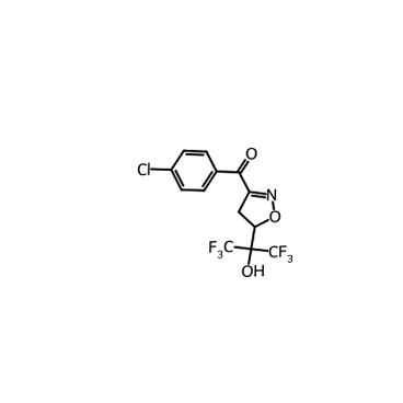 O=C(C1=NOC(C(O)(C(F)(F)F)C(F)(F)F)C1)c1ccc(Cl)cc1